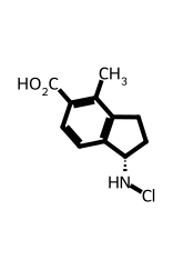 Cc1c(C(=O)O)ccc2c1CC[C@@H]2NCl